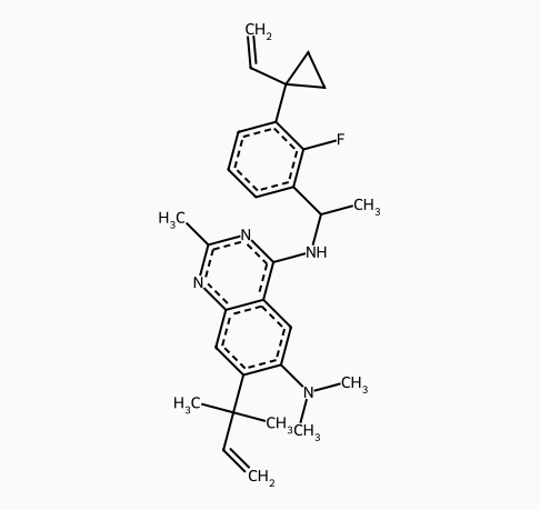 C=CC(C)(C)c1cc2nc(C)nc(NC(C)c3cccc(C4(C=C)CC4)c3F)c2cc1N(C)C